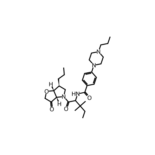 CCC[C@H]1CN(C(=O)C(NC(=O)c2ccc(N3CCN(CCC)CC3)cc2)C(C)(C)CC)[C@@H]2C(=O)CO[C@H]12